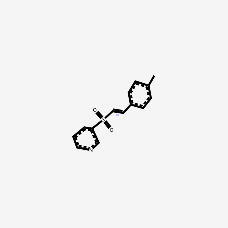 Cc1ccc(/C=C/S(=O)(=O)c2cccnc2)cc1